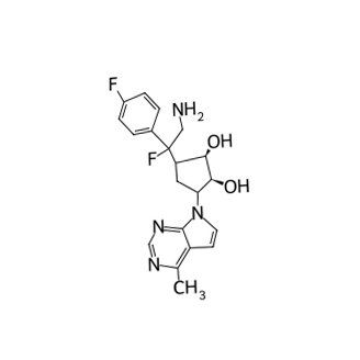 Cc1ncnc2c1ccn2C1CC(C(F)(CN)c2ccc(F)cc2)[C@@H](O)[C@H]1O